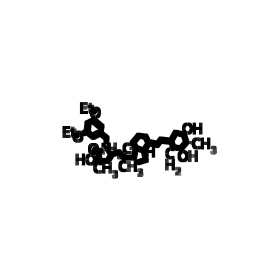 C=C1/C(=C\C=C2/CCC[C@]3(C)[C@@H]([C@H](C)CC4CC(C)(O)C(=O)N4Cc4cc(OCC)cc(OCC)c4)CC[C@@H]23)C[C@@H](O)[C@H](C)[C@@H]1O